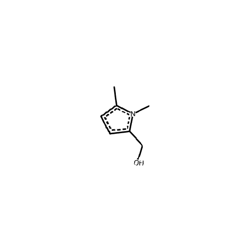 Cc1ccc(CO)n1C